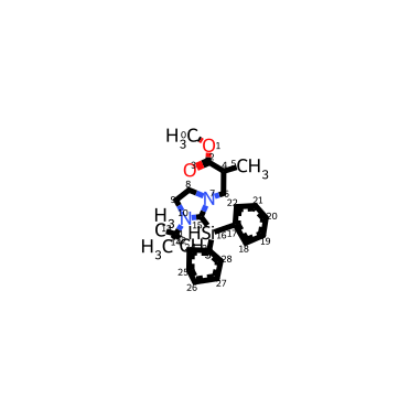 COC(=O)C(C)CN1CCN(C(C)(C)C)C1[SiH](c1ccccc1)c1ccccc1